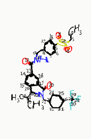 CCS(=O)(=O)c1ccc(CNC(=O)c2ccc3c(c2)C(=O)N(C[C@H]2CC[C@H](C(F)(F)F)CC2)[C@H]3C(C)C)cc1